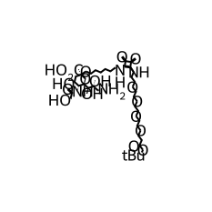 CC(C)(C)OC(=O)CCOCCOCCOCCOCCNc1c(NCCCCCCO[C@]2(C(=O)O)C[C@H](O)[C@@H](NC(=O)CO)[C@H]([C@H](O)[C@H](O)CN)O2)c(=O)c1=O